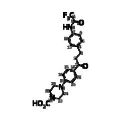 O=C(CCc1ccc(NC(=O)C(F)(F)F)cc1)c1ccc(N2CCN(C(=O)O)CC2)cc1